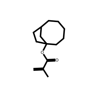 C=C(C)C(=O)OC12CCCCCC(CC1)C2